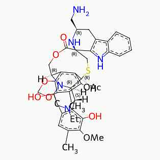 CCN1CC2(O)Cc3cc(C)c(OC)c(O)c3[C@H]1[C@@H]1[C@@H]3SC[C@]4(N[C@@H](CN)Cc5c4[nH]c4ccccc54)C(=O)OC[C@@H](c4c5c(c(C)c(OC(C)=O)c43)OCO5)N12